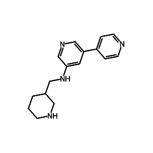 c1cc(-c2cncc(NCC3CCCNC3)c2)ccn1